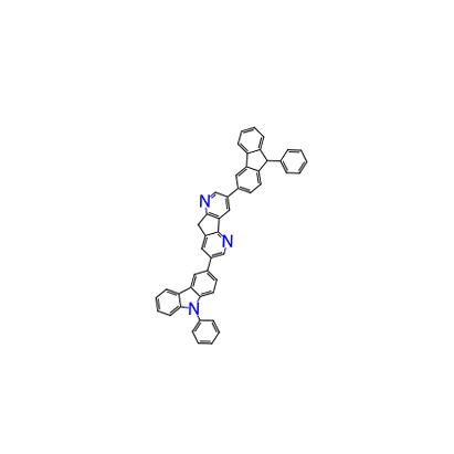 c1ccc(C2c3ccccc3-c3cc(-c4cnc5c(c4)-c4ncc(-c6ccc7c(c6)c6ccccc6n7-c6ccccc6)cc4C5)ccc32)cc1